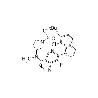 CN(c1ncnc2c(F)c(-c3cccc4ccc(F)c(Cl)c34)ncc12)C1CCN(C(=O)OC(C)(C)C)C1